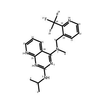 CC(C)Nc1nc(N(C)Cc2cccnc2C(F)(F)F)c2cccnc2n1